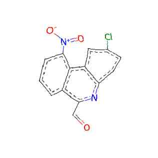 O=Cc1nc2ccc(Cl)cc2c2c([N+](=O)[O-])cccc12